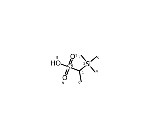 CC([Si](C)(C)C)S(=O)(=O)O